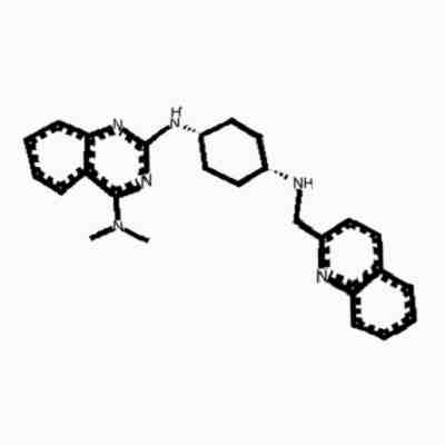 CN(C)c1nc(N[C@H]2CC[C@@H](NCc3ccc4ccccc4n3)CC2)nc2ccccc12